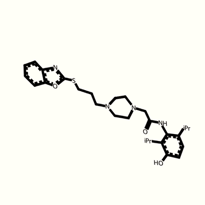 CC(C)c1ccc(O)c(C(C)C)c1NC(=O)CN1CCN(CCCSc2nc3ccccc3o2)CC1